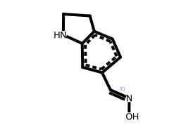 O/N=C/c1ccc2c(c1)NCC2